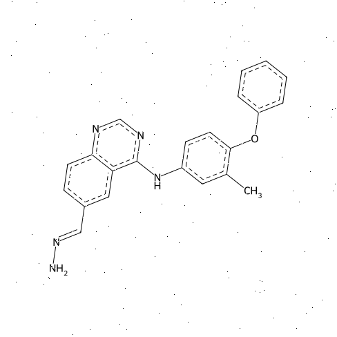 Cc1cc(Nc2ncnc3ccc(C=NN)cc23)ccc1Oc1ccccc1